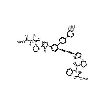 COC(=O)N[C@H](C(=O)N1CCC[C@H]1c1ncc(-c2ccc(C#CC#Cc3cnc([C@@H]4CCCN4C(=O)[C@H](NC(=O)OC)c4ccccc4)[nH]3)c(-c3ccc(-c4ccccc4)cc3)c2)[nH]1)C(C)C.Cl.Cl